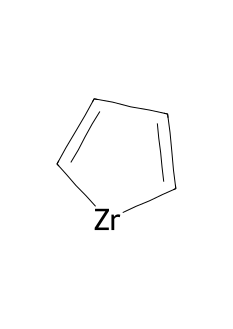 C1=[CH][Zr][CH]=C1